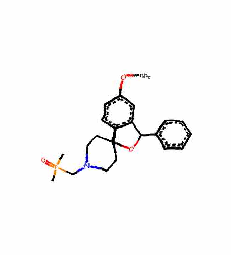 CCCOc1ccc2c(c1)C(c1ccccc1)OC21CCN(CP(C)(C)=O)CC1